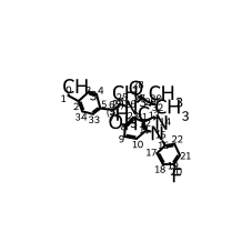 CCc1ccc([C@H](Oc2ccc3c(cnn3-c3ccc(F)cc3)c2)[C@H](C)NC(=O)C(C)(C)C)cc1